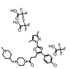 Cc1cc(C)n(-c2nc(-c3ccc(Cl)cc3)c(CCC(=O)N3CCN(CC4CCN(C)CC4)CC3)o2)n1.O=C(O)C(F)(F)F.O=C(O)C(F)(F)F.O=C(O)C(F)(F)F